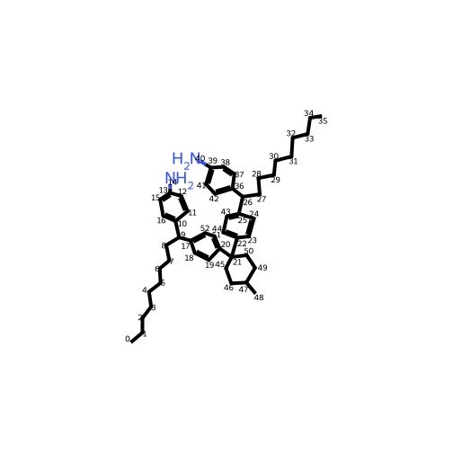 CCCCCCCCCC(c1ccc(N)cc1)c1ccc(C2(c3ccc(C(CCCCCCCCC)c4ccc(N)cc4)cc3)CCC(C)CC2)cc1